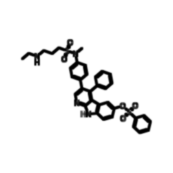 CCNCCCS(=O)(=O)N(C)c1ccc(-c2cnc3[nH]c4ccc(OS(=O)(=O)c5ccccc5)cc4c3c2-c2ccccc2)cc1